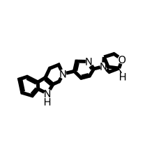 c1ccc2c3c([nH]c2c1)CN(c1ccc(N2C[C@H]4CC2CO4)nc1)CC3